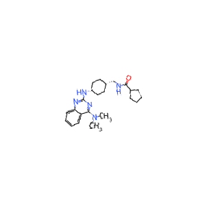 CN(C)c1nc(N[C@H]2CC[C@@H](CNC(=O)C3CCCC3)CC2)nc2ccccc12